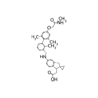 CNC(=O)COc1cc(C)c(-c2cccc(CNc3ccc4c(c3)CC3(CC3)C4CC(=O)O)c2C)c(C)c1